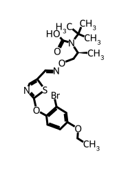 CCOc1ccc(Oc2ncc(C=NOC[C@H](C)N(C(=O)O)C(C)(C)C)s2)c(Br)c1